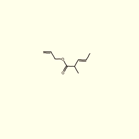 C=CCOC(=O)C(C)C=CC